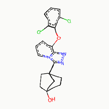 OC12CCC(c3nnc4c(Oc5c(Cl)cccc5Cl)cccn34)(CC1)C2